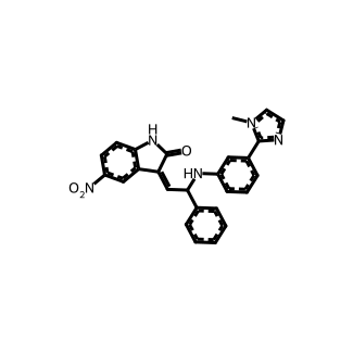 Cn1ccnc1-c1cccc(NC(C=C2C(=O)Nc3ccc([N+](=O)[O-])cc32)c2ccccc2)c1